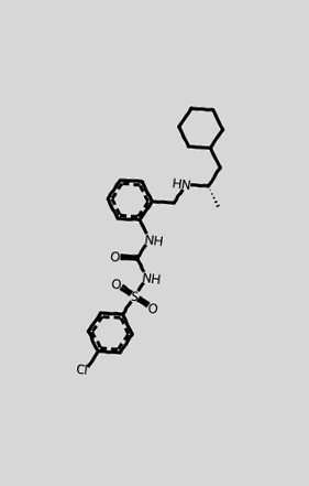 C[C@@H](CC1CCCCC1)NCc1ccccc1NC(=O)NS(=O)(=O)c1ccc(Cl)cc1